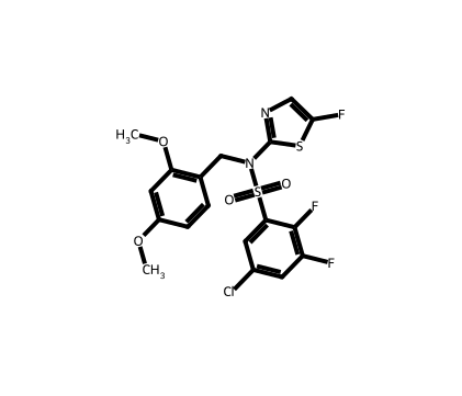 COc1ccc(CN(c2ncc(F)s2)S(=O)(=O)c2cc(Cl)cc(F)c2F)c(OC)c1